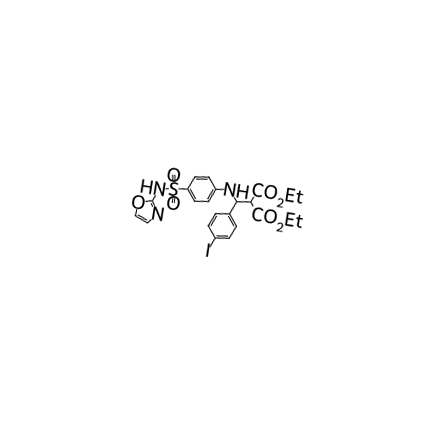 CCOC(=O)C(C(=O)OCC)C(Nc1ccc(S(=O)(=O)Nc2ncco2)cc1)c1ccc(I)cc1